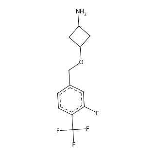 NC1CC(OCc2ccc(C(F)(F)F)c(F)c2)C1